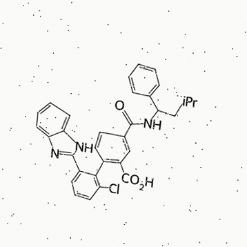 CC(C)CC(NC(=O)c1ccc(-c2c(Cl)cccc2-c2nc3ccccc3[nH]2)c(C(=O)O)c1)c1ccccc1